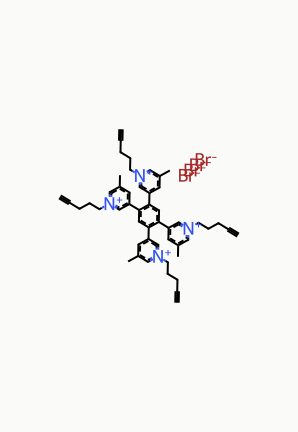 C#CCCC[n+]1cc(C)cc(-c2cc(-c3cc(C)c[n+](CCCC#C)c3)c(-c3cc(C)c[n+](CCCC#C)c3)cc2-c2cc(C)c[n+](CCCC#C)c2)c1.[Br-].[Br-].[Br-].[Br-]